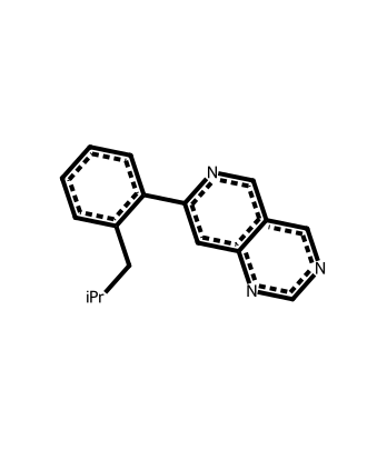 CC(C)Cc1ccccc1-c1cc2ncncc2cn1